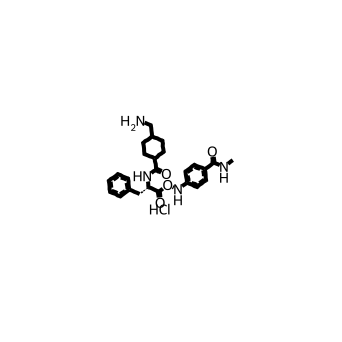 CNC(=O)c1ccc(NOC(=O)[C@H](Cc2ccccc2)NC(=O)C2CCC(CN)CC2)cc1.Cl